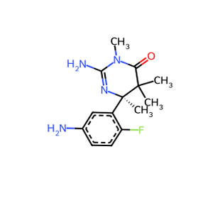 CN1C(=O)C(C)(C)[C@@](C)(c2cc(N)ccc2F)N=C1N